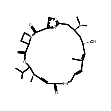 CC1=C\[C@@H](O)C[C@H](N(C)C)Cc2nc(co2)C(=O)N2CCC2C(=O)OC(C(C)C)[C@H](C)/C=C/C(=O)NC\C=C\1